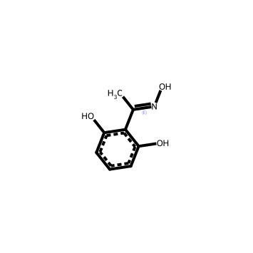 C/C(=N\O)c1c(O)cccc1O